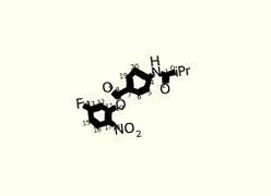 CC(C)C(=O)Nc1ccc(C(=O)Oc2cc(F)ccc2[N+](=O)[O-])cc1